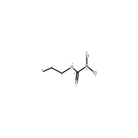 CCCOC(=O)N(Cl)Cl